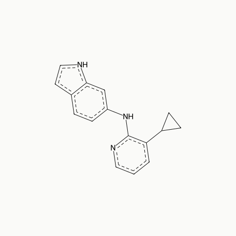 c1cnc(Nc2ccc3cc[nH]c3c2)c(C2CC2)c1